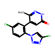 COc1n[nH]c(=O)cc1-c1cc(Cl)ccc1-n1cc(Cl)nn1